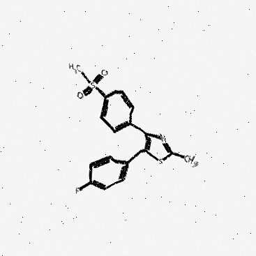 Cc1nc(-c2ccc(S(C)(=O)=O)cc2)c(-c2ccc(F)cc2)s1